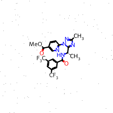 COC(=O)c1ccc(-n2nc(C)nc2[C@H](C)NC(=O)c2cc(C(F)(F)F)cc(C(F)(F)F)c2)nc1